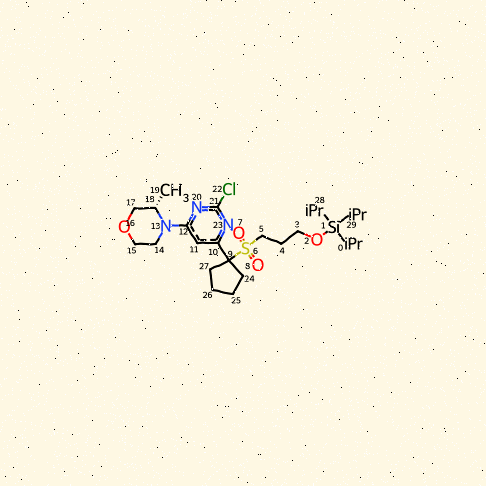 CC(C)[Si](OCCCS(=O)(=O)C1(c2cc(N3CCOC[C@@H]3C)nc(Cl)n2)CCCC1)(C(C)C)C(C)C